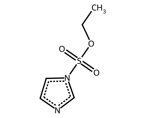 CCOS(=O)(=O)n1ccnc1